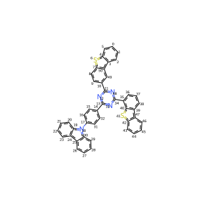 c1ccc2c(c1)sc1ccc(-c3nc(-c4ccc(-n5c6ccccc6c6ccccc65)cc4)nc(-c4cccc5c4sc4ccccc45)n3)cc12